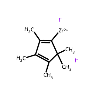 CC1=C(C)C(C)(C)[C]([Zr+2])=C1C.[I-].[I-]